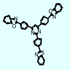 C1=CC(c2nc3ccccc3o2)CC=C1c1cc(-c2ccc(-c3nc4ccccc4o3)cc2)nc(-c2ccc(-c3nc4ccccc4s3)cc2)n1